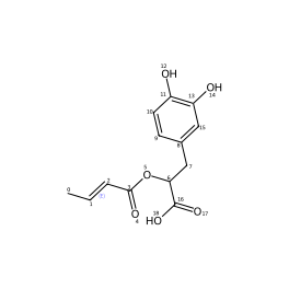 C/C=C/C(=O)OC(Cc1ccc(O)c(O)c1)C(=O)O